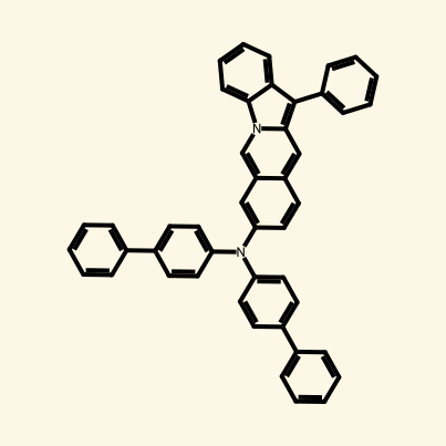 c1ccc(-c2ccc(N(c3ccc(-c4ccccc4)cc3)c3ccc4cc5c(-c6ccccc6)c6ccccc6n5cc4c3)cc2)cc1